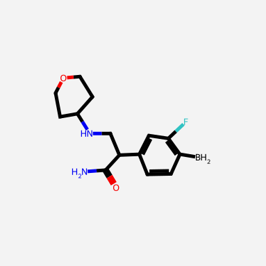 Bc1ccc(C(CNC2CCOCC2)C(N)=O)cc1F